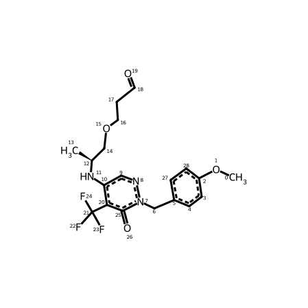 COc1ccc(Cn2ncc(N[C@@H](C)COCCC=O)c(C(F)(F)F)c2=O)cc1